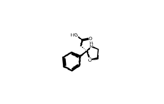 O=C(O)C[C@]1(c2ccccc2)NCCO1